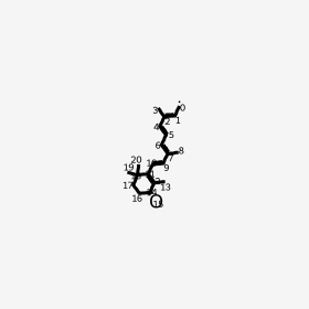 [CH2]C=C(C)C=CC=C(C)C=CC1=C(C)C(=O)CCC1(C)C